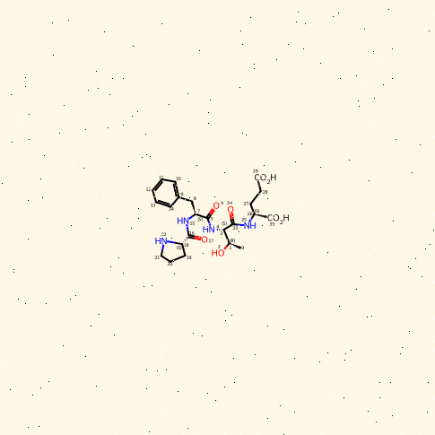 C[C@@H](O)[C@H](NC(=O)[C@H](Cc1ccccc1)NC(=O)[C@@H]1CCCN1)C(=O)N[C@@H](CCC(=O)O)C(=O)O